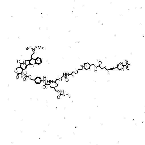 CC[C@@]1(OC(=O)OCc2ccc(NC(=O)[C@H](CCCNC(N)=O)NC(=O)COCC(=O)NCCOCC[N+]3(C)CCC(CNC(=O)CCCC#Cc4cnc(S(C)(=O)=O)nc4)CC3)cc2)C(=O)OCc2c1cc1n(c2=O)Cc2c-1nc1ccccc1c2CCN(SC)C(C)C